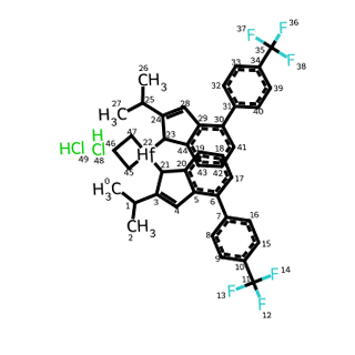 CC(C)C1=Cc2c(-c3ccc(C(F)(F)F)cc3)cccc2[CH]1[Hf]1([CH]2C(C(C)C)=Cc3c(-c4ccc(C(F)(F)F)cc4)cccc32)[CH2]C[CH2]1.Cl.Cl